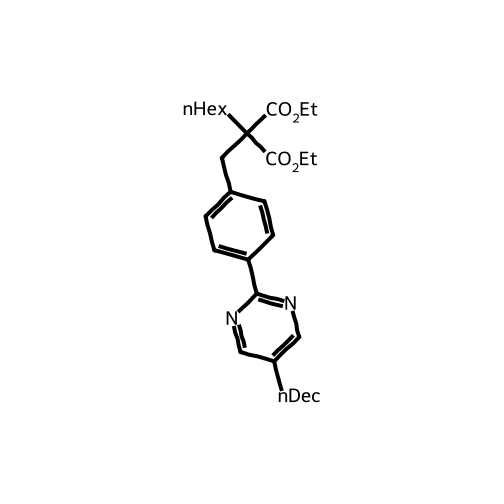 CCCCCCCCCCc1cnc(-c2ccc(CC(CCCCCC)(C(=O)OCC)C(=O)OCC)cc2)nc1